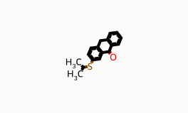 CC(C)Sc1ccc2c(c1)C(=O)c1ccccc1C2